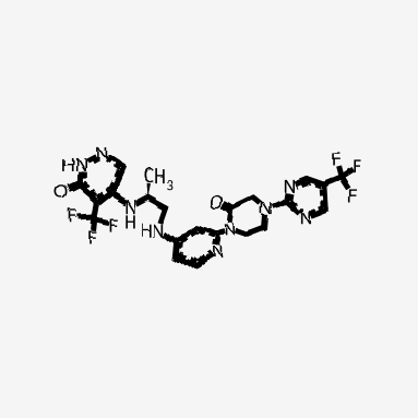 C[C@@H](CNc1ccnc(N2CCN(c3ncc(C(F)(F)F)cn3)CC2=O)c1)Nc1cn[nH]c(=O)c1C(F)(F)F